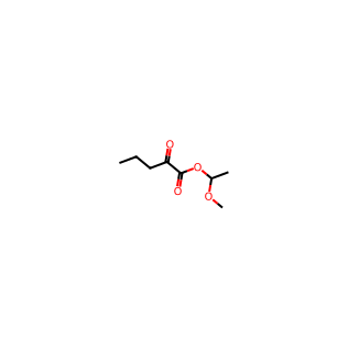 CCCC(=O)C(=O)OC(C)OC